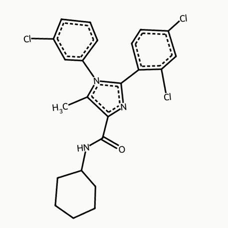 Cc1c(C(=O)NC2CCCCC2)nc(-c2ccc(Cl)cc2Cl)n1-c1cccc(Cl)c1